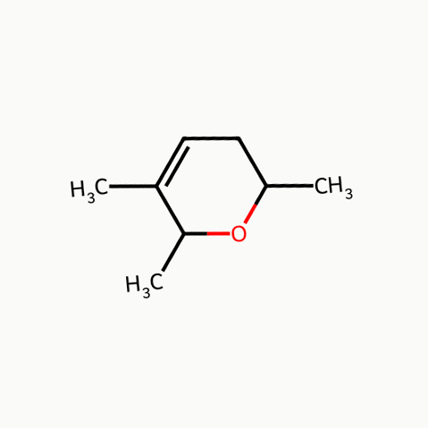 CC1=CCC(C)OC1C